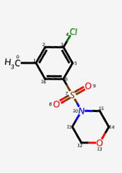 Cc1cc(Cl)cc(S(=O)(=O)N2CCOCC2)c1